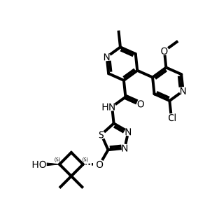 COc1cnc(Cl)cc1-c1cc(C)ncc1C(=O)Nc1nnc(O[C@H]2C[C@H](O)C2(C)C)s1